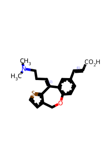 CN(C)CC/C=C1/c2cc(/C=C/C(=O)O)ccc2OCc2ccsc21